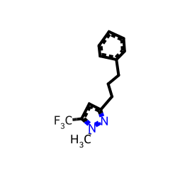 Cn1nc(CCCc2ccccc2)cc1C(F)(F)F